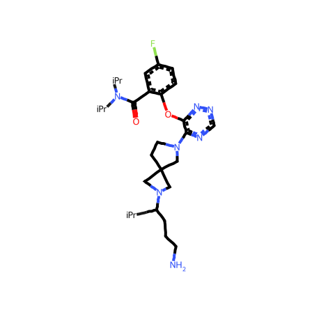 CC(C)C(CCCN)N1CC2(CCN(c3ncnnc3Oc3ccc(F)cc3C(=O)N(C(C)C)C(C)C)C2)C1